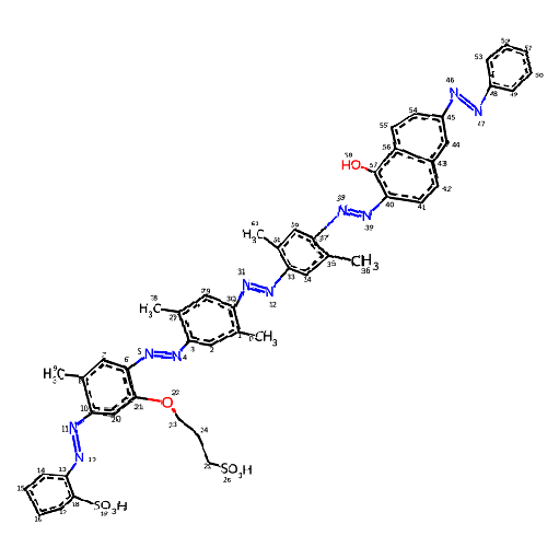 Cc1cc(N=Nc2cc(C)c(N=Nc3ccccc3S(=O)(=O)O)cc2OCCCS(=O)(=O)O)c(C)cc1N=Nc1cc(C)c(N=Nc2ccc3cc(N=Nc4ccccc4)ccc3c2O)cc1C